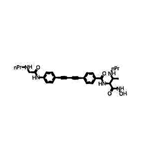 CCCNCC(=O)Nc1ccc(C#CC#Cc2ccc(C(=O)NC(C(=O)NO)C(C)NCCC)cc2)cc1